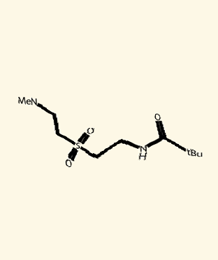 CNCCS(=O)(=O)CCNC(=O)C(C)(C)C